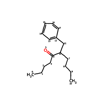 CCCCC(=O)C(CCCC)Cc1ccccc1